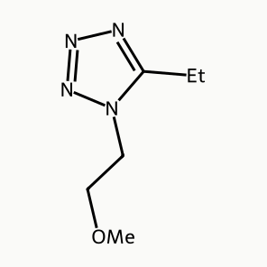 CCc1nnnn1CCOC